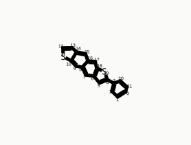 c1ccc(-c2cc3cc4cc5sccc5cc4cc3s2)cc1